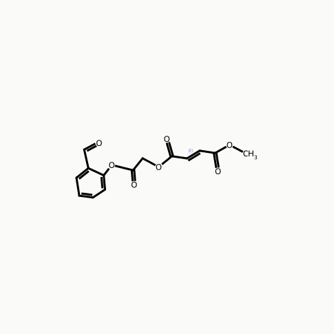 COC(=O)/C=C/C(=O)OCC(=O)Oc1ccccc1C=O